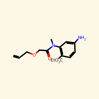 C=CCOCC(=O)N(C)c1cc(N)ccc1C(=O)OCC